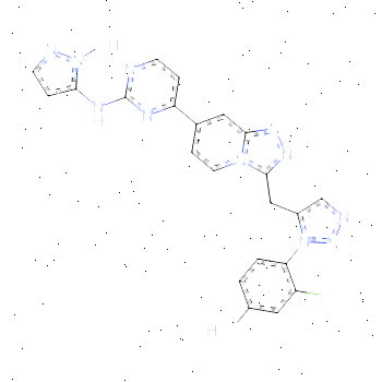 Cc1ccc(-n2nncc2Cc2nnc3cc(-c4ccnc(Nc5ccnn5C)n4)ccn23)c(F)c1